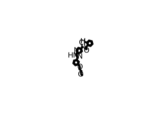 COCCOc1cccc(-c2nc3cc(NC(=O)c4ccccc4Cl)cnc3[nH]2)c1